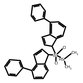 C[SiH](C)[Zr]([Cl])([Cl])([CH]1C=Cc2c(-c3ccccc3)cccc21)[CH]1C=Cc2c(-c3ccccc3)cccc21